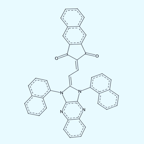 O=C1C(=CC=C2N(c3cccc4ccccc34)c3nc4ccccc4nc3N2c2cccc3ccccc23)C(=O)c2cc3ccccc3cc21